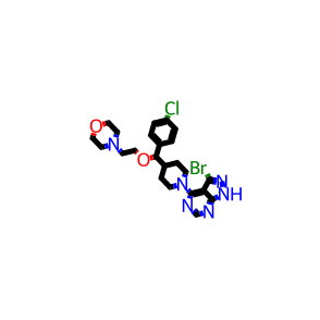 Clc1ccc(C(OCCN2CCOCC2)C2CCN(c3ncnc4[nH]nc(Br)c34)CC2)cc1